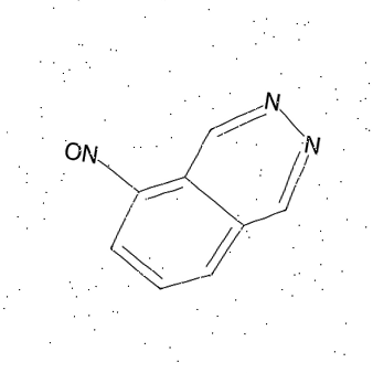 O=Nc1cccc2cnncc12